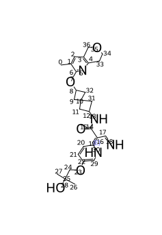 Cc1cc2c(nc1OC1CC3(CC(NC(=O)/C(C=N)=C4\C=CC(OCC(C)(C)O)=CN4)C3)C1)CCOC2